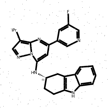 CC(C)c1cnn2c(N[C@H]3CCc4[nH]c5ccccc5c4C3)cc(-c3cncc(F)c3)nc12